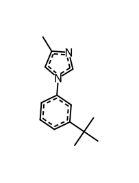 Cc1cn(-c2cccc(C(C)(C)C)c2)cn1